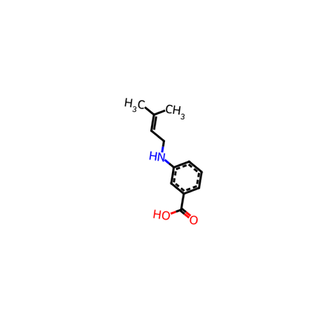 CC(C)=CCNc1cccc(C(=O)O)c1